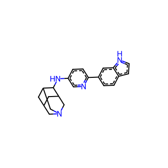 c1cc2ccc(-c3ccc(NC4C5CC6CC4CN(C6)C5)cn3)cc2[nH]1